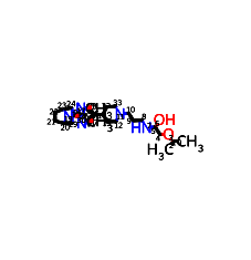 CC(C)OCC(O)NCCCN1CCC(c2cnc(N3C4CCC3CN(C(C)C)C4)nc2)CC1